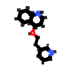 [CH](Cc1cccnc1)Oc1ccnc2ccccc12